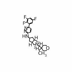 [2H]C([2H])(N1C[C@H]2CC(Nc3ccc(-c4cc(F)cc(F)c4F)nn3)C[C@H]2C1)C1(CC)CCOCC1